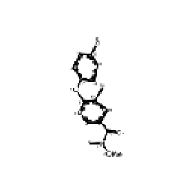 CON(C)C(=O)c1cnc(Oc2ccc(Cl)cc2)c(C)c1